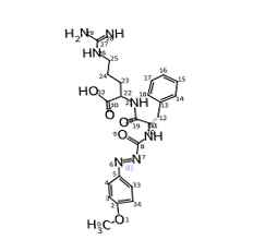 COc1ccc(/N=N/C(=O)N[C@@H](Cc2ccccc2)C(=O)NC(CCCNC(=N)N)C(=O)O)cc1